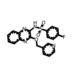 O=S(=O)(Nc1nc2ccccc2nc1OCc1cccnc1)c1ccc(F)cc1